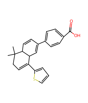 CC1(C)CC=C(c2cccs2)C2C=C(c3ccc(C(=O)O)cc3)C=CC21